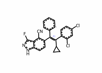 N#Cc1c(/C(=C(/c2ccc(Cl)cc2Cl)C2CC2)c2[c]cccc2)ccc2[nH]nc(F)c12